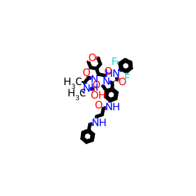 C[C@@H](C(=O)N[C@H](C(=O)N1Cc2cc(NC(=O)CCNCc3ccccc3)ccc2[C@H]1C(=O)Nc1c(F)cccc1F)C1CCOCC1)N(C)C(=O)O